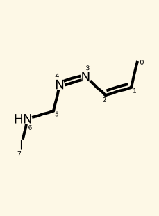 C/C=C\N=N/CNI